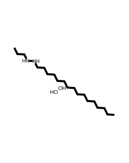 CCCCCCCCCCCCCCCCNNCCC.Cl.Cl